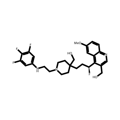 COc1ccc2ncc(CO)c([C@@H](F)CCC3(CO)CCN(CCNc4cc(F)c(F)c(F)c4)CC3)c2c1